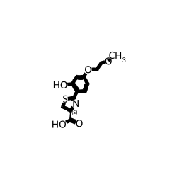 COCCOc1ccc(C2=N[C@@H](C(=O)O)CS2)c(O)c1